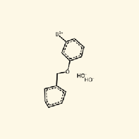 [B+2]c1cccc(OCc2ccccc2)c1.[OH-].[OH-]